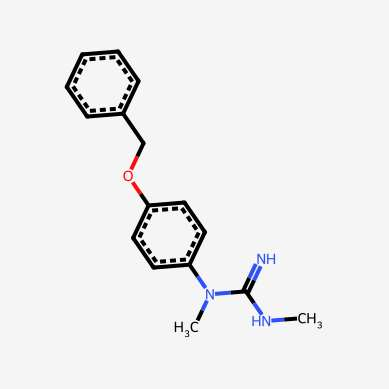 CNC(=N)N(C)c1ccc(OCc2ccccc2)cc1